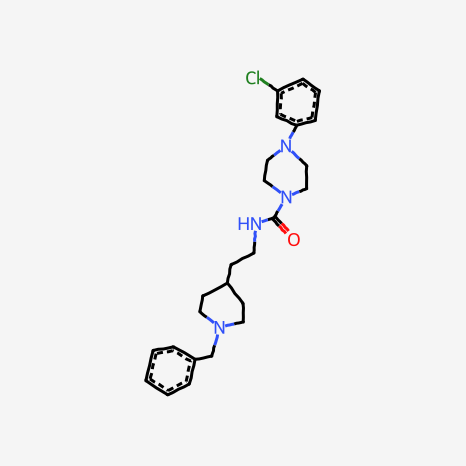 O=C(NCCC1CCN(Cc2ccccc2)CC1)N1CCN(c2cccc(Cl)c2)CC1